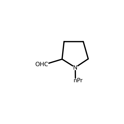 CCCN1CCCC1C=O